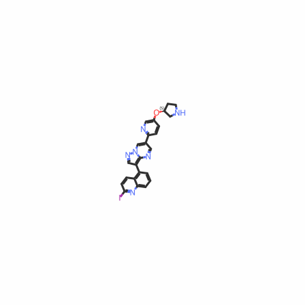 Ic1ccc2c(-c3cnn4cc(-c5ccc(O[C@H]6CCNC6)cn5)cnc34)cccc2n1